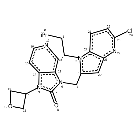 CC(C)CCn1c(Cn2c(=O)n(C3COC3)c3ccncc32)cc2nc(Cl)ccc21